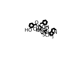 Cc1c(O)cccc1C(=O)N[C@@H](Cc1ccccc1)[C@H](O)C(=O)N1CSC2(C)[C@H]1C(=O)N2[C@@H]1CCc2ncccc21